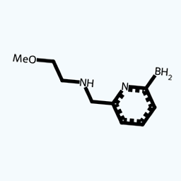 Bc1cccc(CNCCOC)n1